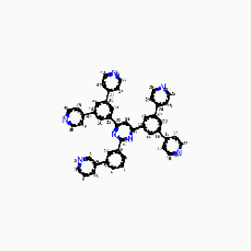 c1cncc(-c2cccc(-c3nc(-c4cc(-c5ccncc5)cc(-c5ccncc5)c4)cc(-c4cc(-c5ccncc5)cc(-c5ccncc5)c4)n3)c2)c1